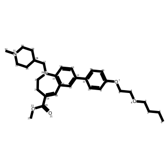 CCCCOCCOc1ccc(-c2ccc3c(c2)C=C(C(=O)OC)CCN3CC2CCN(C)CC2)cc1